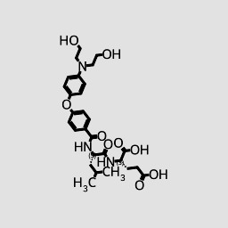 CC(C)C[C@H](NC(=O)c1ccc(Oc2ccc(N(CCO)CCO)cc2)cc1)C(=O)N[C@@H](CCC(=O)O)C(=O)O